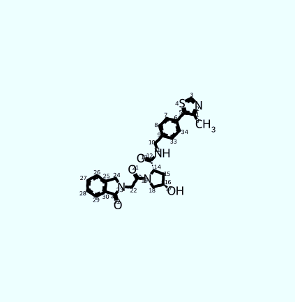 Cc1ncsc1-c1ccc(CNC(=O)[C@@H]2C[C@@H](O)CN2C(=O)CN2Cc3ccccc3C2=O)cc1